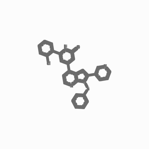 O=c1cc(-c2ccnc3c2cc(-c2cccnc2)n3Sc2ccccc2)cc(-c2ccccc2Cl)[nH]1